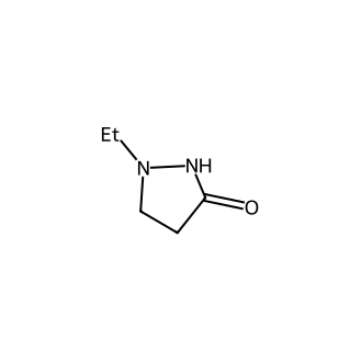 CCN1CCC(=O)N1